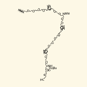 C#CCOCCOCC(COCCOCc1cn(CCOCCOCCOCCOCCn2cc(COCCOCC(COCCOCc3cn(CCOCCOCCOCCOCCN=[N+]=[N-])nn3)NC)nn2)nn1)NC(=O)CCCC